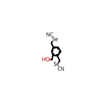 N#C[Se]Cc1ccc(C[Se]C#N)c(CO)c1